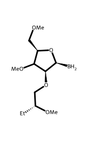 B[C@@H]1O[C@H](COC)C(OC)[C@@H]1OC[C@@H](CC)OC